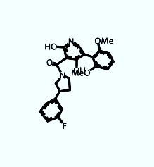 COc1cccc(OC)c1-c1cnc(O)c(C(=O)N2CCC(c3cccc(F)c3)C2)c1O